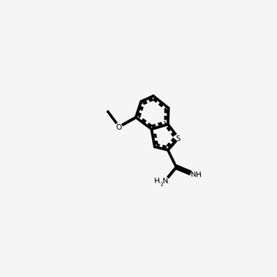 COc1cccc2sc(C(=N)N)cc12